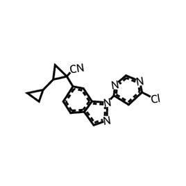 N#CC1(c2ccc3cnn(-c4cc(Cl)ncn4)c3c2)CC1C1CC1